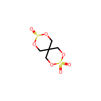 O=S1OCC2(CO1)COS(=O)(=O)OC2